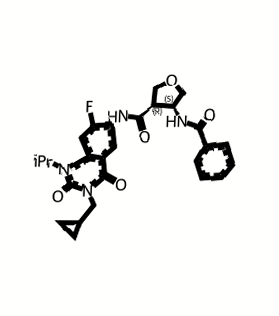 CC(C)n1c(=O)n(CC2CC2)c(=O)c2cc(NC(=O)[C@H]3COC[C@H]3NC(=O)c3ccccc3)c(F)cc21